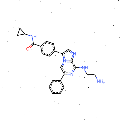 NCCNc1nc(-c2ccccc2)cn2c(-c3ccc(C(=O)NC4CC4)cc3)cnc12